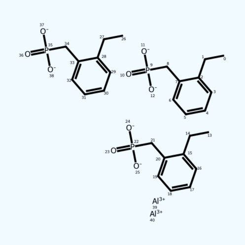 CCc1ccccc1CP(=O)([O-])[O-].CCc1ccccc1CP(=O)([O-])[O-].CCc1ccccc1CP(=O)([O-])[O-].[Al+3].[Al+3]